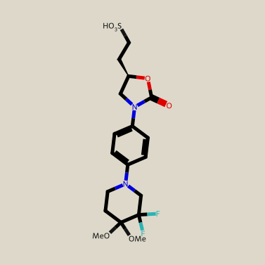 COC1(OC)CCN(c2ccc(N3C[C@@H](CCS(=O)(=O)O)OC3=O)cc2)CC1(F)F